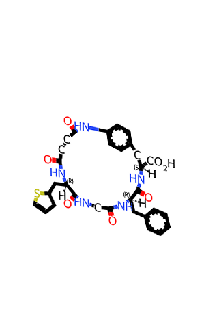 O=C1CCC(=O)N[C@H](CC2CC=CS2)C(=O)NCC(=O)N[C@H](Cc2ccccc2)C(=O)N[C@H](C(=O)O)Cc2ccc(cc2)N1